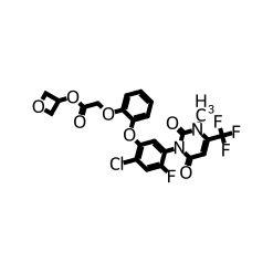 Cn1c(C(F)(F)F)cc(=O)n(-c2cc(Oc3ccccc3OCC(=O)OC3COC3)c(Cl)cc2F)c1=O